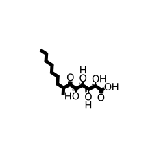 CCCCCCCC(C)C(=O)[C@H](O)[C@@H](O)[C@@H](O)[C@H](O)C(=O)O